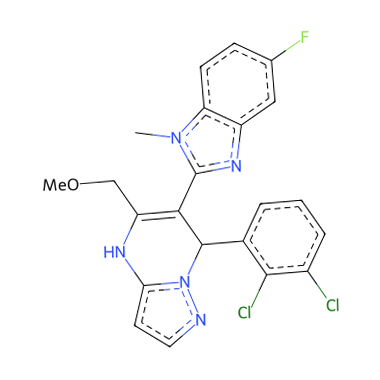 COCC1=C(c2nc3cc(F)ccc3n2C)C(c2cccc(Cl)c2Cl)n2nccc2N1